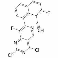 C#Cc1c(F)ccc2cccc(-c3ncc4c(Cl)nc(Cl)nc4c3F)c12